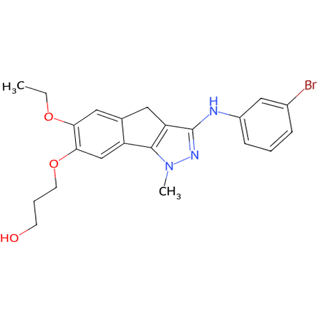 CCOc1cc2c(cc1OCCCO)-c1c(c(Nc3cccc(Br)c3)nn1C)C2